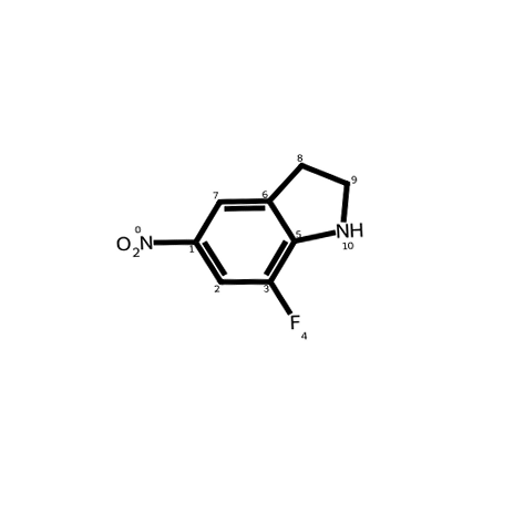 O=[N+]([O-])c1cc(F)c2c(c1)CCN2